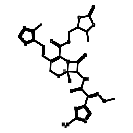 CON=C(C(=O)NC1C(=O)N2C(C(=O)OCC3OC(=O)OC3C)=C(C=Cc3scnc3C)CS[C@@H]12)c1csc(N)n1